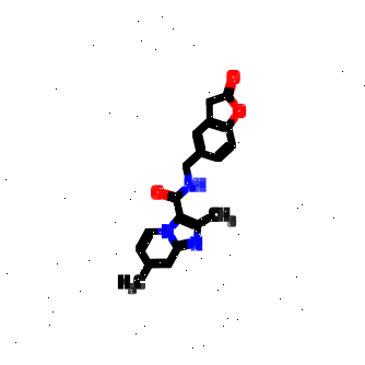 Cc1ccn2c(C(=O)NCc3ccc4c(c3)CC(=O)O4)c(C)nc2c1